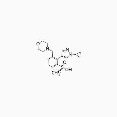 Cc1ccc(CN2CCOCC2)c(-c2cnn(C3CC3)c2)c1S(=O)(=O)O